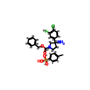 Cc1ccc(S(=O)(=O)O)cc1.NC1(c2ccc(Cl)c(F)c2)CCN(C(=O)OCc2ccccc2)C1